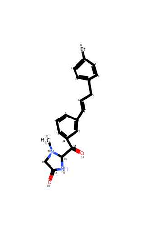 CCc1ccc(CC=Cc2cccc(C(=O)C3NC(=O)CN3C)c2)cc1